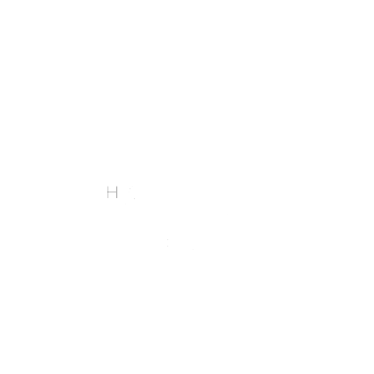 C[C@@]1(C(F)(F)F)C=CCCC1